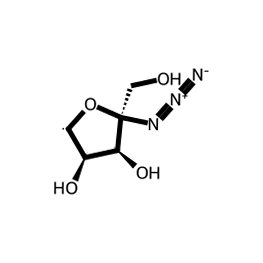 [N-]=[N+]=N[C@]1(CO)O[CH][C@H](O)[C@@H]1O